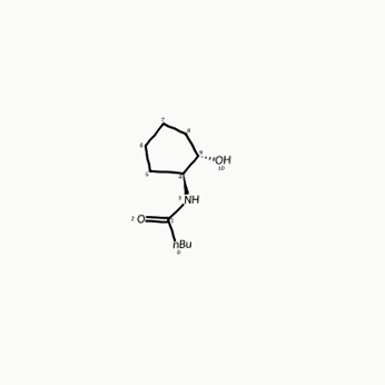 CCCCC(=O)N[C@H]1CCCC[C@@H]1O